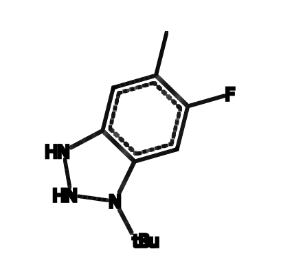 Cc1cc2c(cc1F)N(C(C)(C)C)NN2